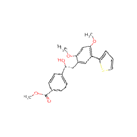 COC(=O)c1ccc(C(O)Cc2cc(-c3cccs3)c(OC)cc2OC)cc1